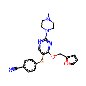 CN1CCN(c2ncc(Sc3ccc(C#N)cc3)c(OCc3ccco3)n2)CC1